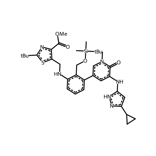 COC(=O)c1nc(C(C)(C)C)sc1CNc1cccc(-c2cc(Nc3cc(C4CC4)n[nH]3)c(=O)n(C)c2)c1CO[Si](C)(C)C(C)(C)C